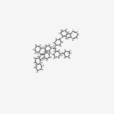 C1=CC=Cc2c(oc3c(-c4ccc(N(c5ccc(-c6ccccc6-n6c7ccccc7c7c8ccccc8ccc76)cc5)c5cccc(-c6ccccc6)c5)cc4)cccc23)C=1